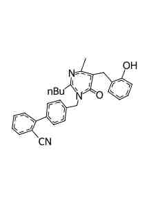 CCCCc1nc(C)c(Cc2ccccc2O)c(=O)n1Cc1ccc(-c2ccccc2C#N)cc1